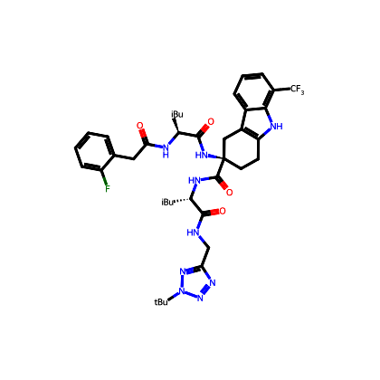 CCC(C)[C@H](NC(=O)Cc1ccccc1F)C(=O)N[C@]1(C(=O)N[C@H](C(=O)NCc2nnn(C(C)(C)C)n2)C(C)CC)CCc2[nH]c3c(C(F)(F)F)cccc3c2C1